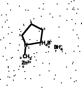 CN1CCCC1.[BH4-].[BH4-].[Zn+2]